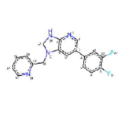 Fc1ccc(-c2cnc3c(c2)N(Cc2ccccn2)CN3)cc1F